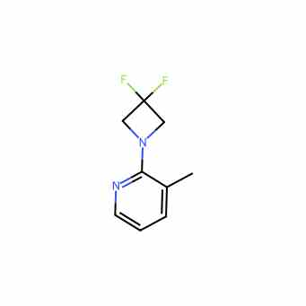 Cc1cccnc1N1CC(F)(F)C1